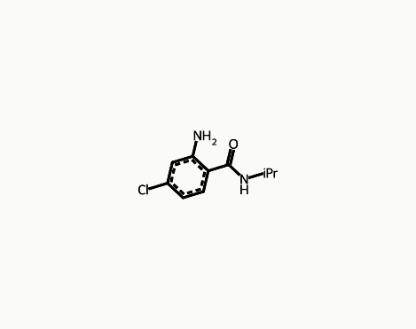 CC(C)NC(=O)c1ccc(Cl)cc1N